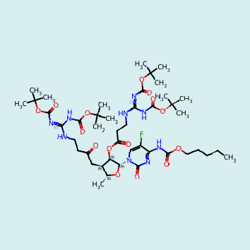 CCCCCOC(=O)Nc1nc(=O)n([C@@H]2O[C@H](C)[C@@H](CC(=O)CCN/C(=N/C(=O)OC(C)(C)C)NC(=O)OC(C)(C)C)[C@H]2OC(=O)CCN/C(=N/C(=O)OC(C)(C)C)NC(=O)OC(C)(C)C)cc1F